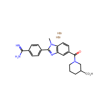 Br.Br.Cn1c(-c2ccc(C(=N)N)cc2)nc2cc(C(=O)N3CCCC(C(=O)O)C3)ccc21